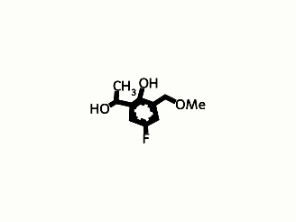 COCc1cc(F)cc(C(C)O)c1O